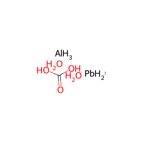 O.O.O=C(O)O.[AlH3].[PbH2]